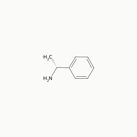 [CH2][C@@H](N)c1ccccc1